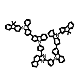 CC1(C)c2ccccc2-c2ccc(-n3c4ccccc4c4cc(-c5ccc6c(c5)c5ccccc5n6-c5ccc(-c6nc(-c7cccc(-n8c9ccccc9c9cc(-c%10ccc%11c(c%10)c%10ccccc%10n%11-c%10ccc%11c(c%10)C(C)(C)c%10ccccc%10-%11)ccc98)c7)nc7c6ccc6ccccc67)cc5)ccc43)cc21